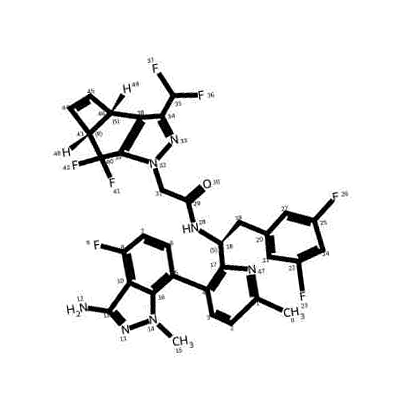 Cc1ccc(-c2ccc(F)c3c(N)nn(C)c23)c([C@H](Cc2cc(F)cc(F)c2)NC(=O)Cn2nc(C(F)F)c3c2C(F)(F)[C@@H]2C=C[C@H]32)n1